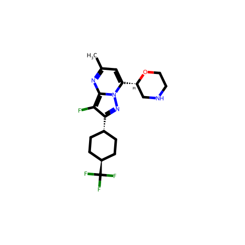 Cc1cc([C@H]2CNCCO2)n2nc([C@H]3CC[C@H](C(F)(F)F)CC3)c(F)c2n1